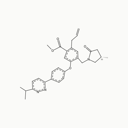 C=CCc1cc(CN2C[C@@H](C)CC2=O)c(Oc2ccc(-c3ccc(C(C)C)nn3)cc2)cc1C(=O)OC